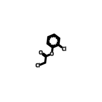 O=C(CCl)Oc1ccccc1Cl